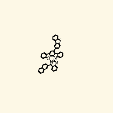 c1ccc2cc(-c3nc(-n4c5ccccc5c5c(-c6ccc7sc8ccccc8c7c6)cc6c7ccccc7oc6c54)nc4ccccc34)ccc2c1